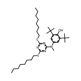 CCCCCCCCSc1nc(SCCCCCCCC)nc(N(C)c2cc(C(C)(C)C)c(O)c(C(C)(C)C)c2)n1